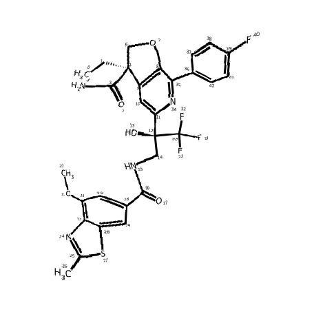 CC[C@]1(C(N)=O)COc2c1cc([C@@](O)(CNC(=O)c1cc(OC)c3nc(C)sc3c1)C(F)(F)F)nc2-c1ccc(F)cc1